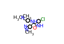 CN(C)Cc1ccc(NC(=C2C(=O)Nc3cc(Cl)ccc32)c2ccc3c(c2)ncn3C)cc1